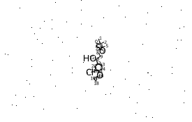 CC(C)(C)[Si](C)(C)OCCC(O)c1ccc(OC2CC2)c(Cl)c1